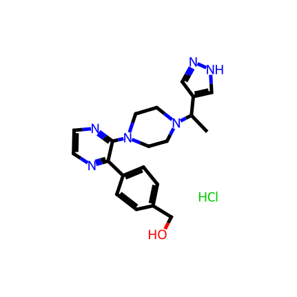 CC(c1cn[nH]c1)N1CCN(c2nccnc2-c2ccc(CO)cc2)CC1.Cl